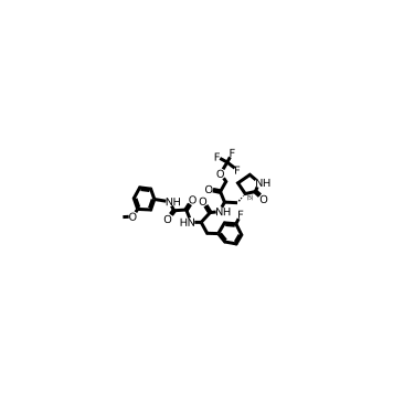 COc1cccc(NC(=O)C(=O)NC(Cc2cccc(F)c2)C(=O)NC(C[C@@H]2CCNC2=O)C(=O)COC(F)(F)F)c1